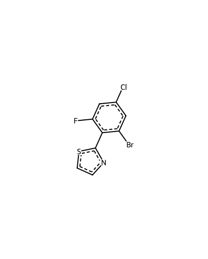 Fc1cc(Cl)cc(Br)c1-c1nccs1